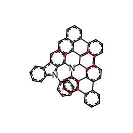 C1=CCC(N(c2ccccc2-c2ccccc2-c2ccccc2-c2ccccc2)c2cccc3c4ccccc4n(-c4ccccc4)c23)C(c2cccc3cccc(-c4ccccc4)c23)=C1